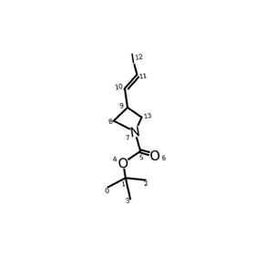 CC(C)(C)OC(=O)N1CC(C=CI)C1